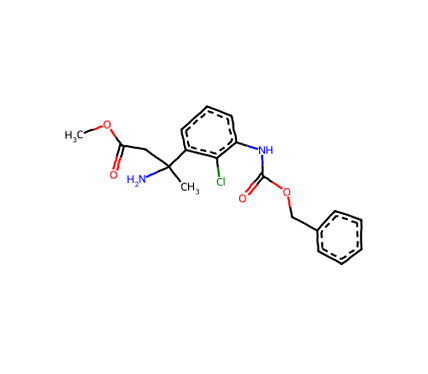 COC(=O)CC(C)(N)c1cccc(NC(=O)OCc2ccccc2)c1Cl